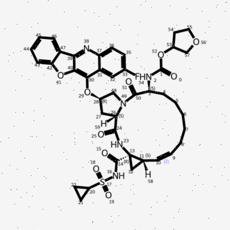 O=C(N[C@H]1CCCCC/C=C\[C@@H]2C[C@@]2(C(=O)NS(=O)(=O)C2CC2)NC(=O)[C@@H]2C[C@@H](Oc3c4cc(F)ccc4nc4c3oc3ccccc34)CN2C1=O)OC1CCOC1